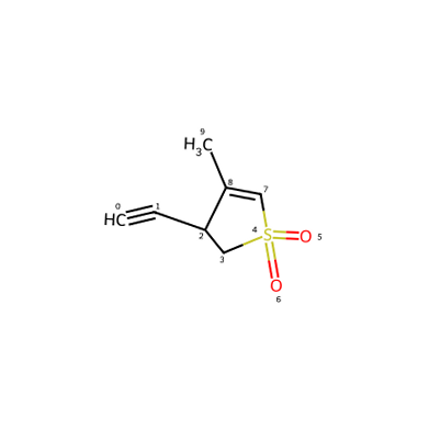 C#CC1CS(=O)(=O)C=C1C